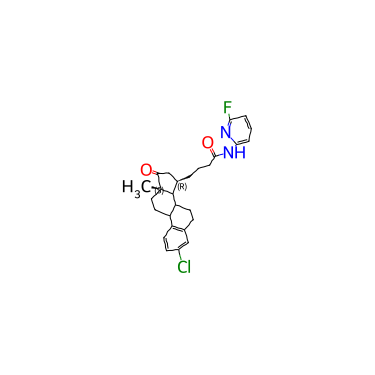 C[C@]12CCC3c4ccc(Cl)cc4CCC3C1[C@H](CCCC(=O)Nc1cccc(F)n1)CC2=O